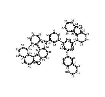 c1cc(-c2nc(-c3ccc4ccccc4c3)nc(-c3cccc4oc5ccccc5c34)n2)cc(-n2c3cccc4c3c3c5c(ccc32)oc2ccc3cccc-4c3c25)c1